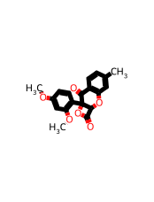 COc1ccc(C23OC(=O)C2Oc2cc(C)ccc2C3=O)c(OC)c1